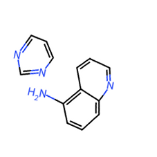 Nc1cccc2ncccc12.c1cncnc1